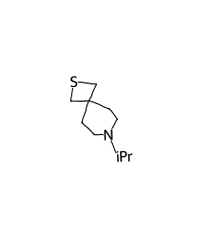 CC(C)N1CCC2(CC1)CSC2